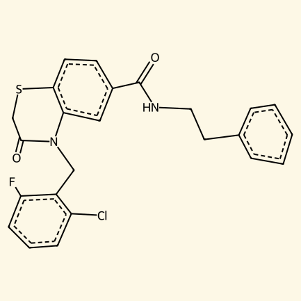 O=C(NCCc1ccccc1)c1ccc2c(c1)N(Cc1c(F)cccc1Cl)C(=O)CS2